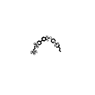 CCCc1cnc(N2CCC(Oc3nc4ccc(C5=CCN(S(=O)(=O)CCCP(=O)(OC)OC)CC5)cc4s3)CC2)nc1